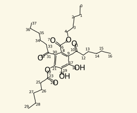 CCCCCOC(=O)c1c(C(=O)CCCCC)c(O)c(O)c(OC(=O)CCCCC)c1C(=O)CCCCC